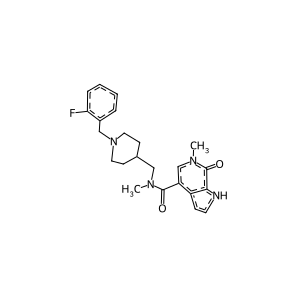 CN(CC1CCN(Cc2ccccc2F)CC1)C(=O)c1cn(C)c(=O)c2[nH]ccc12